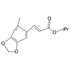 Cc1cc2c(cc1/C=C/C(=O)OC(C)C)OCO2